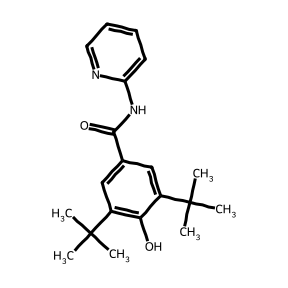 CC(C)(C)c1cc(C(=O)Nc2ccccn2)cc(C(C)(C)C)c1O